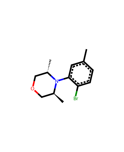 Cc1ccc(Br)c(N2[C@@H](C)COC[C@@H]2C)c1